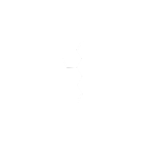 O=CCCC(C=O)CC=O